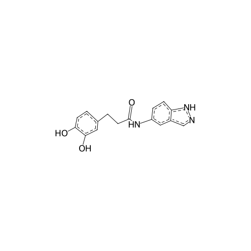 O=C(CCc1ccc(O)c(O)c1)Nc1ccc2[nH]ncc2c1